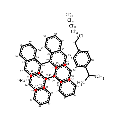 CC(C)c1ccc(CCl)cc1.[Cl-].[Cl-].[Cl-].[Cl-].[Ru+4].c1ccc(P(c2ccccc2)c2ccc3ccccc3c2-c2c(P(c3ccccc3)c3ccccc3)ccc3ccccc23)cc1